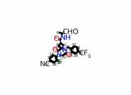 CC(C=O)NC(=O)[C@H]1C[C@]2(C1)C(=O)N(c1ccc(C#N)cc1F)CC(=O)N2Cc1ccc(C(F)(F)F)cc1